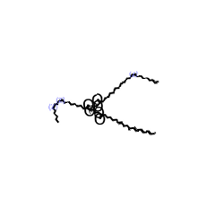 CCCCC/C=C\C/C=C\CCCCCCCC(=O)O[C@@H](COC(=O)CCCCCCCCCCC/C=C\CCCCCCCC)COC(=O)CCCCCCCCCCCCCCCCC